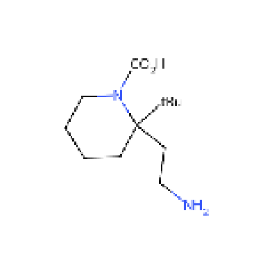 CC(C)(C)C1(CCN)CCCCN1C(=O)O